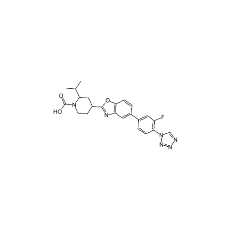 CC(C)C1CC(c2nc3cc(-c4ccc(-n5cnnn5)c(F)c4)ccc3o2)CCN1C(=O)O